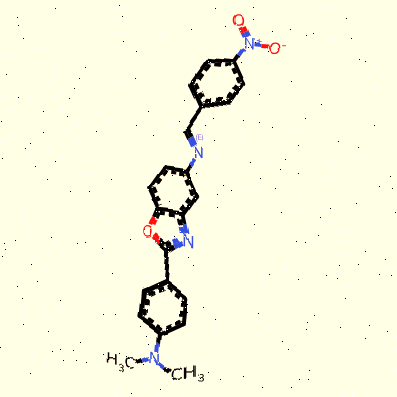 CN(C)c1ccc(-c2nc3cc(/N=C/c4ccc([N+](=O)[O-])cc4)ccc3o2)cc1